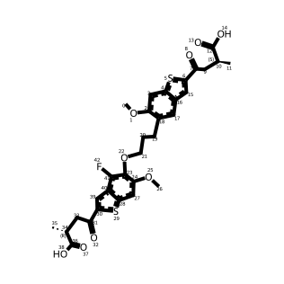 COc1cc2sc(C(=O)C[C@H](C)C(=O)O)cc2cc1CCCOc1c(OC)cc2sc(C(=O)C[C@@H](C)C(=O)O)cc2c1F